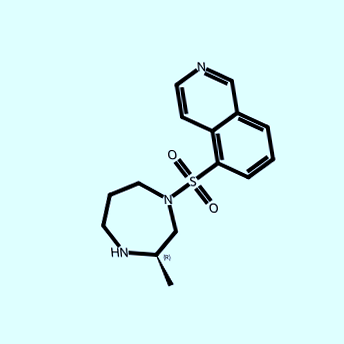 C[C@@H]1CN(S(=O)(=O)c2cccc3cnccc23)CCCN1